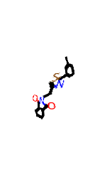 Cc1cccc(-c2nc(CCN3C(=O)c4ccccc4C3=O)cs2)c1